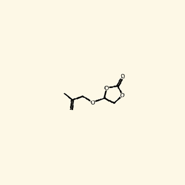 C=C(C)COC1COC(=O)O1